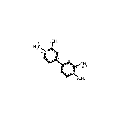 Cc1cc(-c2cc[n+](C)c(C)c2)cc[n+]1C